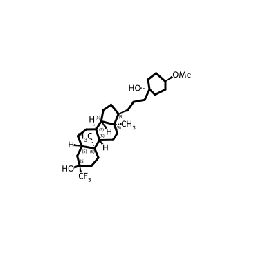 CO[C@H]1CC[C@@](O)(CCC[C@@H]2CC[C@H]3[C@@H]4CC[C@H]5C[C@](O)(C(F)(F)F)CC[C@]5(C)[C@H]4CC[C@]23C)CC1